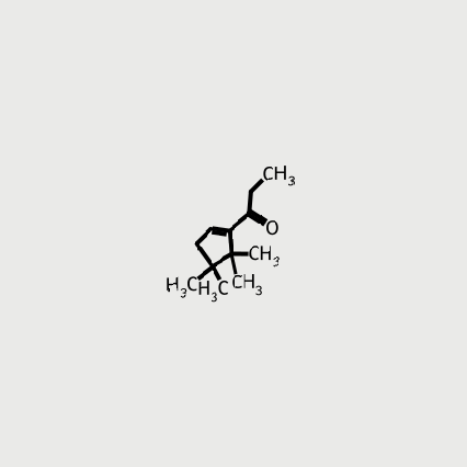 CCC(=O)C1=CCC(C)(C)C1(C)C